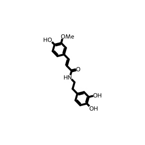 COc1cc(C=CC(=O)NCCc2ccc(O)c(O)c2)ccc1O